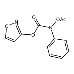 CC(=O)ON(C(=O)Oc1ccon1)c1ccccc1